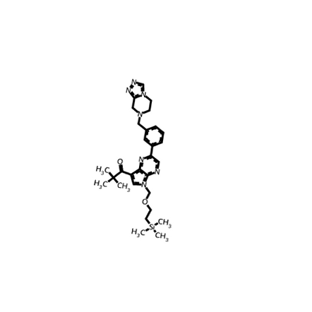 CC(C)(C)C(=O)c1cn(COCC[Si](C)(C)C)c2ncc(-c3cccc(CN4CCn5cnnc5C4)c3)nc12